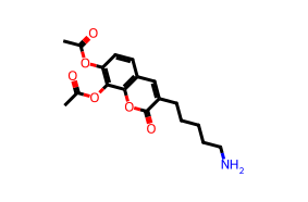 CC(=O)Oc1ccc2cc(CCCCCN)c(=O)oc2c1OC(C)=O